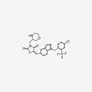 O=C1SC(=Cc2ccc3c(cnn3Cc3ccc(Cl)cc3C(F)(F)F)c2)C(=O)N1CC1COCCN1